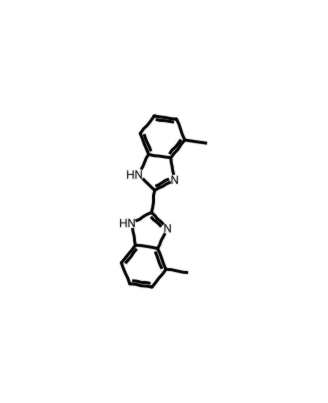 Cc1cccc2[nH]c(-c3nc4c(C)cccc4[nH]3)nc12